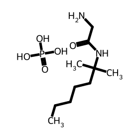 CCCCCC(C)(C)NC(=O)CN.O=P(O)(O)O